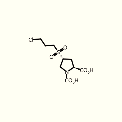 O=C(O)[C@@H]1C[C@@H](S(=O)(=O)CCCCl)CN1C(=O)O